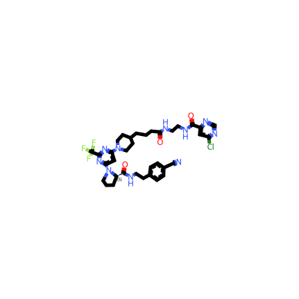 N#Cc1ccc(CCNC(=O)[C@@H]2CCCN2c2cc(N3CCC(CCCC(=O)NCCNC(=O)c4cc(Cl)ncn4)CC3)nc(C(F)(F)F)n2)cc1